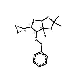 CC1(C)OC2O[C@H]([C@@H]3CO3)[C@H](OCc3ccccc3)[C@H]2O1